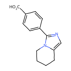 O=C(O)c1ccc(-c2ncc3n2CCCC3)cc1